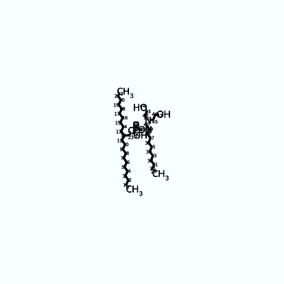 CCCCCCCCCCCCC(CCCCCCCCCC)COP(=O)(O)O.CCCCCCCCCCCCN(CCO)CCO